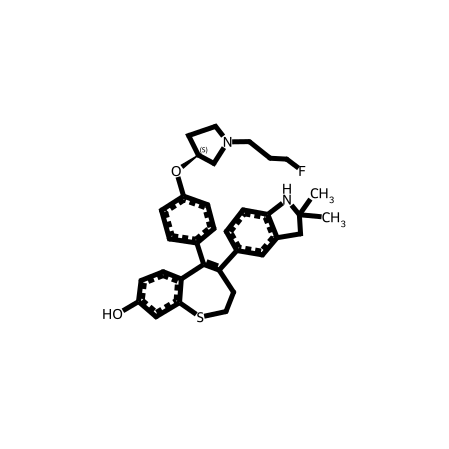 CC1(C)Cc2cc(C3=C(c4ccc(O[C@H]5CCN(CCCF)C5)cc4)c4ccc(O)cc4SCC3)ccc2N1